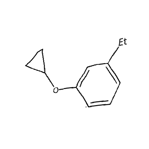 CCc1cc[c]c(OC2CC2)c1